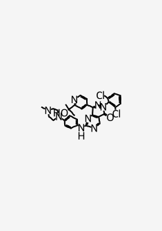 CN1CCN(c2ccc(Nc3ncc4c(=O)n(-c5c(Cl)cccc5Cl)nc(-c5ccnc(C(C)(C)O)c5)c4n3)cc2)CC1